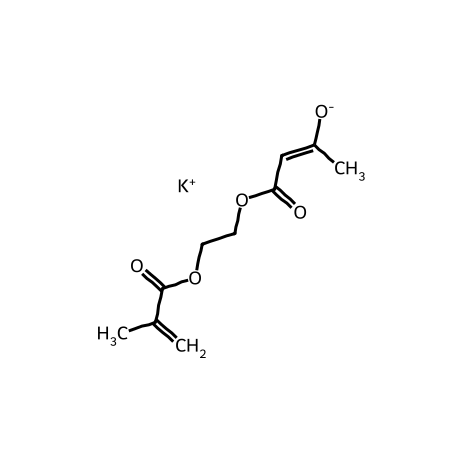 C=C(C)C(=O)OCCOC(=O)/C=C(\C)[O-].[K+]